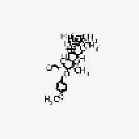 COc1ccc(CO[C@@H]2[C@@H](C)[C@@H]3O[C@@H]4CO[Si](C(C)(C)C)(C(C)(C)C)O[C@@H]4C[C@@H]3O[C@H]2CC=O)cc1